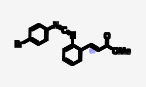 COC(=O)/C=C/c1ccccc1N=C=Nc1ccc(Br)cc1